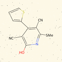 CSc1nc(O)c(C#N)c(-c2cccs2)c1C#N